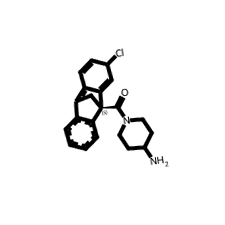 NC1CCN(C(=O)[C@@]23CC(=C4C=CC(Cl)C=C42)c2ccccc23)CC1